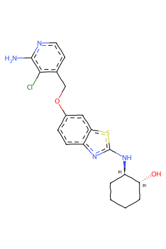 Nc1nccc(COc2ccc3nc(N[C@@H]4CCCC[C@H]4O)sc3c2)c1Cl